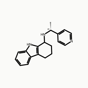 C[C@@H](NC1CCCc2c1[nH]c1ccccc21)c1ccncc1